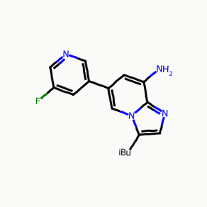 CCC(C)c1cnc2c(N)cc(-c3cncc(F)c3)cn12